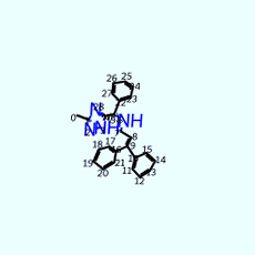 Cc1n[nH]c([C@H](NCC=C(c2ccccc2)c2ccccc2)c2ccccc2)n1